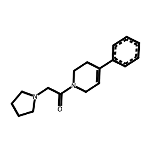 O=C(CN1CCCC1)N1CC=C(c2ccccc2)CC1